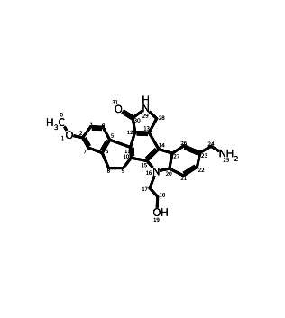 COc1ccc2c(c1)CCc1c-2c2c(c3c1N(CCO)C1C=CC(CN)=CC31)CNC2=O